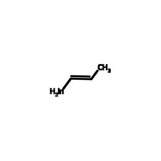 CC=[CH][InH2]